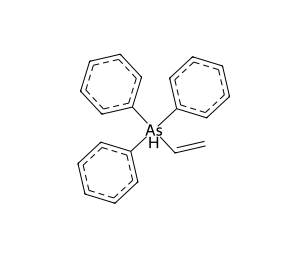 C=C[AsH](c1ccccc1)(c1ccccc1)c1ccccc1